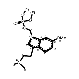 CCOP(=O)(OCC)OCn1cc(CCN(C)C)c2ccc(OC)cc21